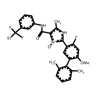 CCC(F)(F)c1cccc(NC(=O)c2c(C)[nH]c(-c3cc(-c4c(C)cccc4C)c(OC)cc3F)[n+]2[O-])c1